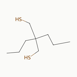 CCCC(CS)(CS)CCC